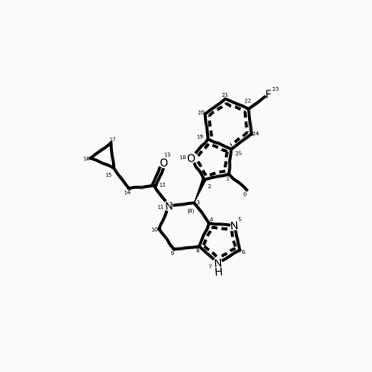 Cc1c([C@H]2c3nc[nH]c3CCN2C(=O)CC2CC2)oc2ccc(F)cc12